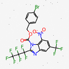 O=C(OCc1ccc(Br)cc1)n1c(C(F)(F)C(F)(F)C(F)(F)F)nc2cc(C(F)(F)F)cc([N+](=O)[O-])c21